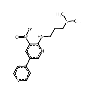 CN(C)CCCNc1ncc(-c2ccncc2)cc1[N+](=O)[O-]